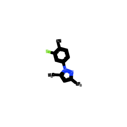 Cc1cc(C(F)(F)F)nn1-c1ccc(C#N)c(F)c1